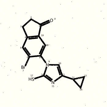 O=C1CCc2cc(Br)c(-n3cc(C4CC4)nc3S)cc21